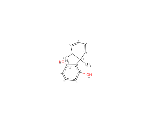 CC1C=CC=CC1(C)c1c(O)cccc1O